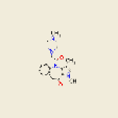 Cc1cn(C)c2c1N(C(=O)CN1CCN(C)CC1)c1ccccc1CC2=O